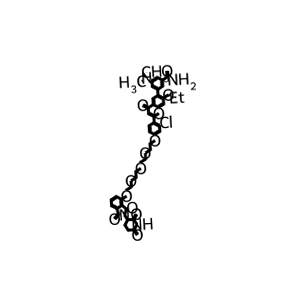 CCOc1cc2oc(-c3ccc(OCCOCCOCCOCCOc4cccc5c4C(=O)N(C4CCC(=O)NC4=O)C5=O)cc3Cl)cc(=O)c2cc1-c1cc(C(N)=O)cc(N(C)C)c1